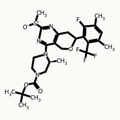 Cc1cc(C)c(C(F)(F)F)c(C2Cc3nc([S+](C)[O-])nc(N4CCN(C(=O)OC(C)(C)C)C[C@@H]4C)c3CO2)c1F